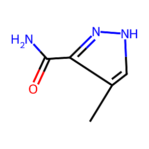 Cc1c[nH]nc1C(N)=O